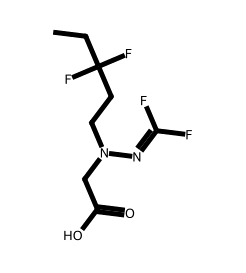 CCC(F)(F)CCN(CC(=O)O)N=C(F)F